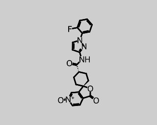 O=C1O[C@]2(CC[C@@H](C(=O)Nc3ccn(-c4ccccc4F)n3)CC2)c2c[n+]([O-])ccc21